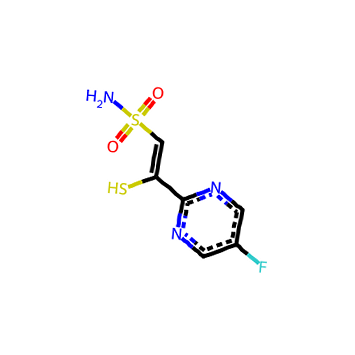 NS(=O)(=O)/C=C(\S)c1ncc(F)cn1